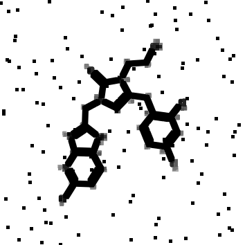 O=c1n(Cc2nc3nc(Cl)ccc3[nH]2)cc(Cc2ccc(Cl)cc2Cl)n1CCO